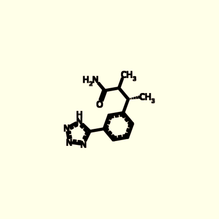 CC(C(N)=O)[C@H](C)c1cccc(-c2nnn[nH]2)c1